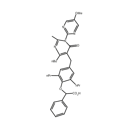 CCCCc1nc(C)n(-c2ncc(OC)cn2)c(=O)c1Cc1cc(CCC)c(OC(C(=O)O)c2ccccc2)c(CCC)c1